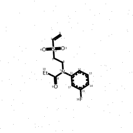 C=CS(=O)(=O)CCN(C(=O)CC)c1cccc(F)c1